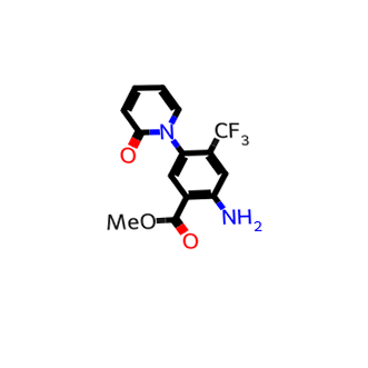 COC(=O)c1cc(-n2ccccc2=O)c(C(F)(F)F)cc1N